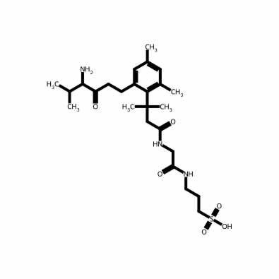 Cc1cc(C)c(C(C)(C)CC(=O)NCC(=O)NCCCS(=O)(=O)O)c(CCC(=O)C(N)C(C)C)c1